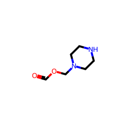 O=COCN1CCNCC1